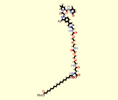 COC(=O)CCCCCCCCCCCCCCCCC(=O)N[C@@H](CCC(=O)NCCOCCOCC(=O)NCCOCCOCC(=O)NCc1ncc(-c2ccc3c(c2)c(C(C)=O)nn3CC(=O)N2CC(C)(C)C[C@H]2C(=O)Nc2nc(Br)ccc2C)cn1)C(=O)OC